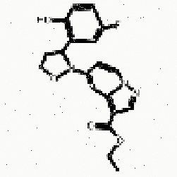 CCOC(=O)c1cnn2ccc(N3OCCC3c3cc(F)ccc3O)nc12